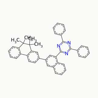 CC1(C)c2ccccc2-c2ccc(-c3cc(-c4nc(-c5ccccc5)nc(-c5ccccc5)n4)c4ccccc4c3)cc2C1(C)C